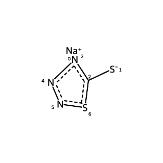 [Na+].[S-]c1nnns1